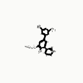 Cc1cc(-c2cc(C(=O)O)c(O)c(-c3cccnc3)c2)cc(C(C)(C)C)c1